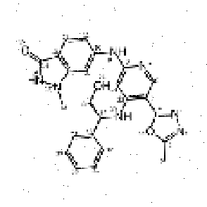 Cc1nnc(-c2cnc(Nc3ccc4c(=O)[nH]n(C)c4c3)cc2N[C@H](CO)c2ccccc2)o1